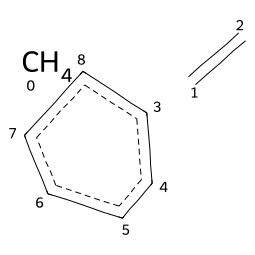 C.C=C.c1ccccc1